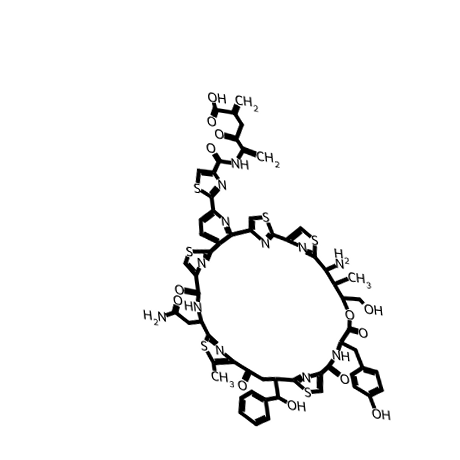 C=C(CC(=O)C(=C)NC(=O)c1csc(-c2ccc3c(n2)-c2csc(n2)-c2csc(n2)C(N)C(C)C(CO)OC(=O)C(Cc2ccc(O)cc2)NC(=O)c2csc(n2)C(C(O)c2ccccc2)CC(=O)c2nc(sc2C)C(CC(N)=O)NC(=O)c2csc-3n2)n1)C(=O)O